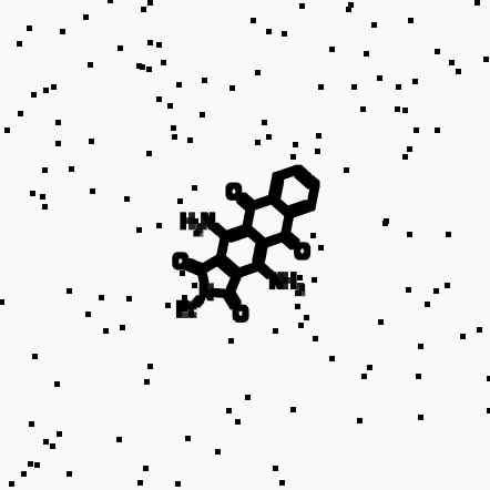 CCn1c(=O)c2c(N)c3c(=O)c4ccccc4c(=O)c3c(N)c2c1=O